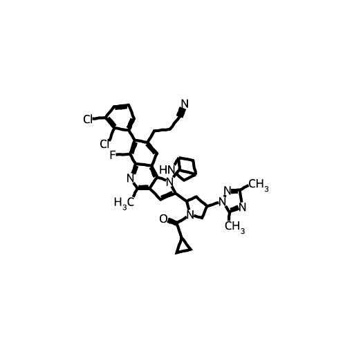 Cc1nc(C)n(C2CC(c3cc4c(C)nc5c(F)c(-c6cccc(Cl)c6Cl)c(CCC#N)cc5c4n3C3C4CNC3C4)N(C(=O)C3CC3)C2)n1